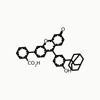 O=C(O)c1ccccc1-c1ccc2c(-c3ccc(O)c(C45CC6CC(CC(C6)C4)C5)c3)c3ccc(=O)cc-3oc2c1